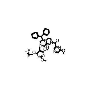 COc1cncc(C(=O)N2CCN3C(C(c4ccccc4)c4ccccc4)CN(Cc4c(OC)nc(OC)nc4OCC(F)(F)F)C[C@H]3C2)n1